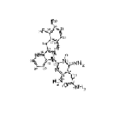 CN1C(N)=C(OC(N)=O)C(N)=NC1n1nc(Cc2c(F)ccc(F)c2F)c2ncccc21